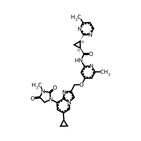 Cc1cc(OCc2cn3cc(C4CC4)cc(N4CC(=O)N(C)C4=O)c3n2)cc(NC(=O)[C@H]2C[C@@H]2c2nccc(C)n2)n1